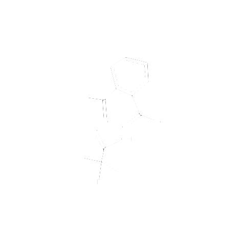 O=C(O)C(F)(F)F.O=C(O)c1ccccc1C(=O)O